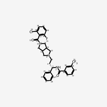 O=C(N[C@@H](CCN1CC2CN(C(=O)c3c(F)cccc3Cl)CC2C1)c1ccccc1)c1cccc(C(F)(F)F)c1